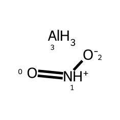 O=[NH+][O-].[AlH3]